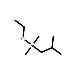 [CH2]CO[Si](C)(C)CC(C)C